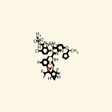 C[C@H](Oc1ccc2c(=O)n(C3=CC=C(Cl)C4C(NS(C)(=O)=O)=NN(C)C34)c([C@H](Cc3cc(F)cc(F)c3)NC(=O)Cn3nc(C(F)F)c4c3C(F)(F)[C@@H]3C[C@H]43)nc2n1)C1CCCC1